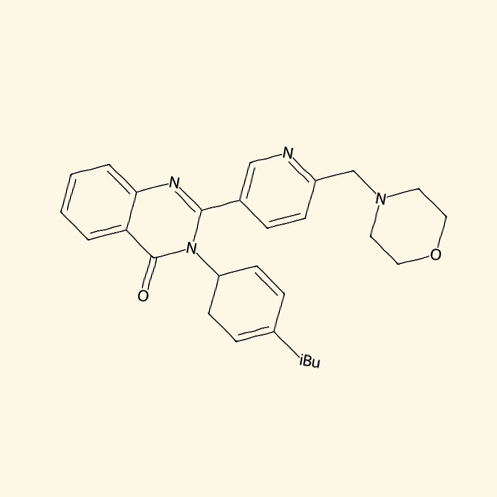 CCC(C)C1=CCC(n2c(-c3ccc(CN4CCOCC4)nc3)nc3ccccc3c2=O)C=C1